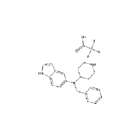 O=C(O)C(F)(F)F.c1ccc(CN(c2ccc3[nH]ccc3c2)C2CCNCC2)cc1